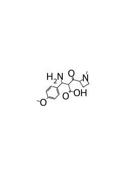 COc1ccc(C(N)C(C(=O)O)C(=O)C2CCN2C)cc1